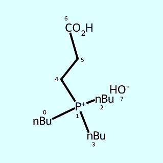 CCCC[P+](CCCC)(CCCC)CCC(=O)O.[OH-]